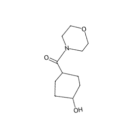 O=C(C1CCC(O)CC1)N1CCOCC1